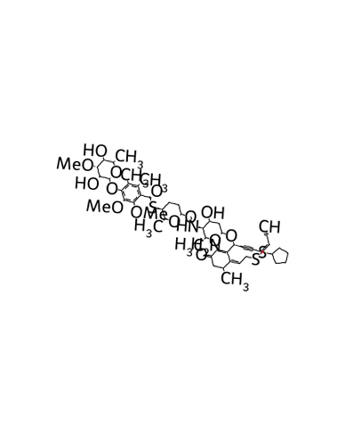 C#C/C=C\C#C[C@H](OC1CC(O)[C@H](NOC2CC[C@H](SC(=O)c3c(C)c(C)c(OC4O[C@@H](C)C(O)[C@@H](OC)[C@H]4O)c(OC)c3OC)C(C)O2)C(C)O1)C1=C(N)C(=O)CC(C)/C1=C/CSSC1CCCC1